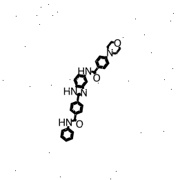 O=C(Nc1ccccc1)c1ccc(-c2nc3cc(NC(=O)c4ccc(N5CCOCC5)cc4)ccc3[nH]2)cc1